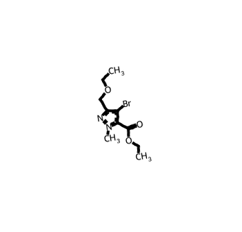 CCOCc1nn(C)c(C(=O)OCC)c1Br